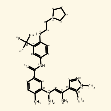 Cc1ccc(C(=O)Nc2ccc(NCCN3CCCC3)c(C(F)(F)F)c2)cc1N(N)/C=C(\N)c1cnn(C)c1C